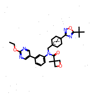 CCOc1ncc(-c2cccc(N(CC34CCC(c5noc(C(C)(C)C)n5)(CC3)CC4)C(=O)C3(C)COC3)c2)cn1